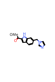 COC(=O)c1cc2ccc(Cn3ccnc3)cc2[nH]1